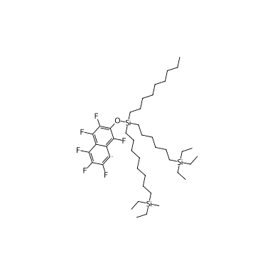 CCCCCCCCC[Si](CCCCCCCC[Si](C)(CC)CC)(CCCCCC[Si](CC)(CC)CC)Oc1c(F)c(F)c2c(F)c(F)c(F)[c]c2c1F